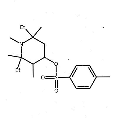 CCC1(C)CC(OS(=O)(=O)c2ccc(C)cc2)C(C)C(C)(CC)N1C